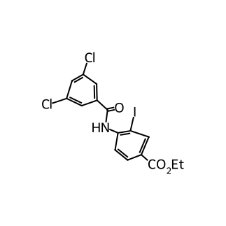 CCOC(=O)c1ccc(NC(=O)c2cc(Cl)cc(Cl)c2)c(I)c1